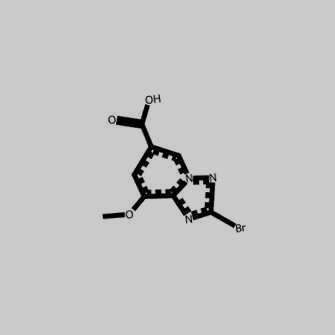 COc1cc(C(=O)O)cn2nc(Br)nc12